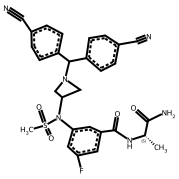 C[C@H](NC(=O)c1cc(F)cc(N(C2CN(C(c3ccc(C#N)cc3)c3ccc(C#N)cc3)C2)S(C)(=O)=O)c1)C(N)=O